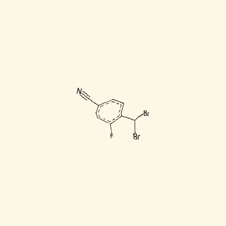 N#Cc1ccc(C(Br)Br)c(F)c1